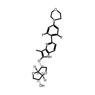 Cc1c(O[C@@H]2CO[C@H]3[C@@H]2OC[C@H]3O)[nH]c2ccc(-c3c(F)cc(N4CCOCC4)cc3F)nc12